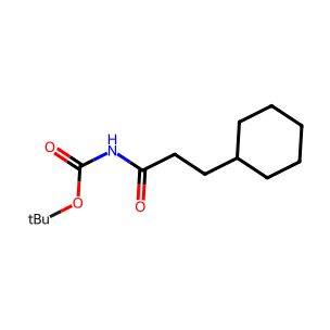 CC(C)(C)OC(=O)NC(=O)CCC1CCCCC1